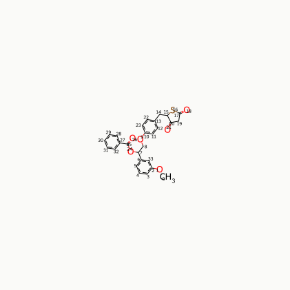 COc1cccc(C(COc2ccc(CC3SC(=O)CC3=O)cc2)OC(=O)c2ccccc2)c1